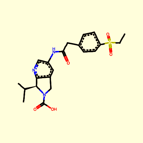 CCS(=O)(=O)c1ccc(CC(=O)Nc2cnc3c(c2)CN(C(=O)O)[C@H]3C(C)C)cc1